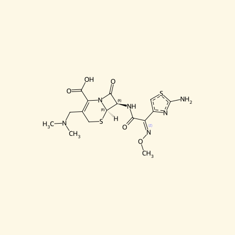 CO/N=C(\C(=O)N[C@@H]1C(=O)N2C(C(=O)O)=C(CN(C)C)CS[C@H]12)c1csc(N)n1